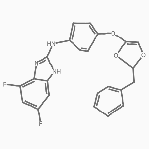 Fc1cc(F)c2nc(Nc3ccc(OC4=COC(Cc5ccccc5)O4)cc3)[nH]c2c1